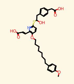 COc1ccc(CCCCCCCCOc2ccc(SC(O)Cc3ccc(CC(=O)O)cc3)nc2C=CC(=O)O)cc1